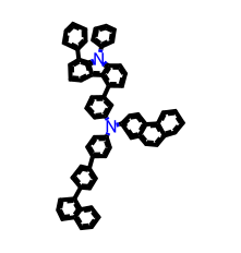 c1ccc(-c2cccc3c4c(-c5cccc(N(c6ccc(-c7ccc(-c8cccc9ccccc89)cc7)cc6)c6ccc7c(ccc8ccccc87)c6)c5)cccc4n(-c4ccccc4)c23)cc1